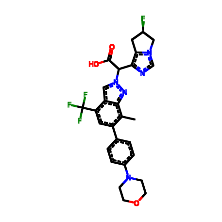 Cc1c(-c2ccc(N3CCOCC3)cc2)cc(C(F)(F)F)c2cn(C(C(=O)O)c3ncn4c3C[C@@H](F)C4)nc12